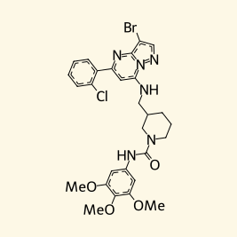 COc1cc(NC(=O)N2CCCC(CNc3cc(-c4ccccc4Cl)nc4c(Br)cnn34)C2)cc(OC)c1OC